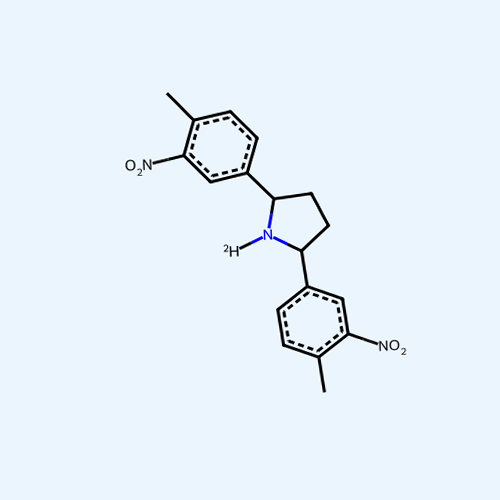 [2H]N1C(c2ccc(C)c([N+](=O)[O-])c2)CCC1c1ccc(C)c([N+](=O)[O-])c1